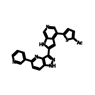 CC(=O)c1ccc(-c2cncc3[nH]c(-c4n[nH]c5ccc(-c6cccnc6)nc45)cc23)s1